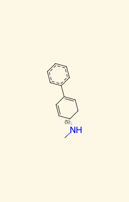 CN[C@@H]1C=CC(c2ccccc2)=CC1